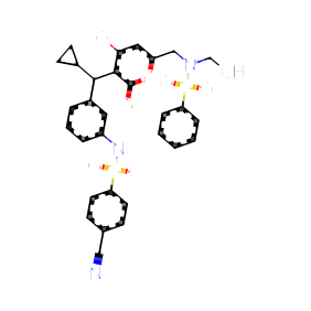 CCN(Cc1cc(O)c(C(c2cccc(NS(=O)(=O)c3ccc(C#N)cc3)c2)C2CC2)c(=O)o1)S(=O)(=O)c1ccccc1